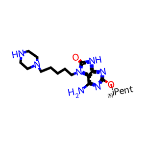 CCC[C@H](C)Oc1nc(N)c2c(n1)[nH]c(=O)n2CCCCCN1CCNCC1